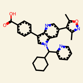 Cc1noc(C)c1-c1cnc2c(-c3ccc(C(=O)O)cc3)cn(C(c3ccccn3)C3CCCCC3)c2c1